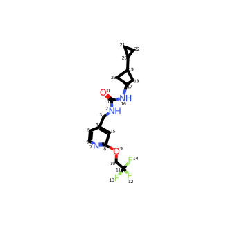 O=C(NCc1ccnc(OCC(F)(F)F)c1)NC1CC(C2CC2)C1